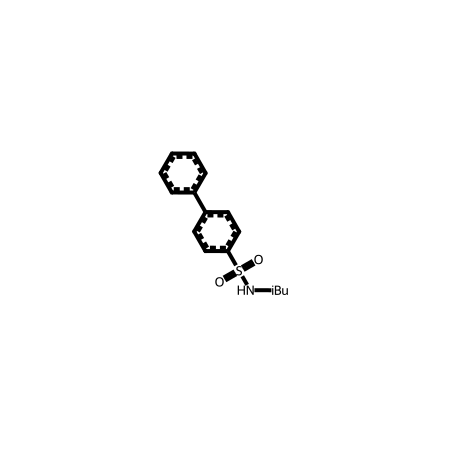 CCC(C)NS(=O)(=O)c1ccc(-c2ccccc2)cc1